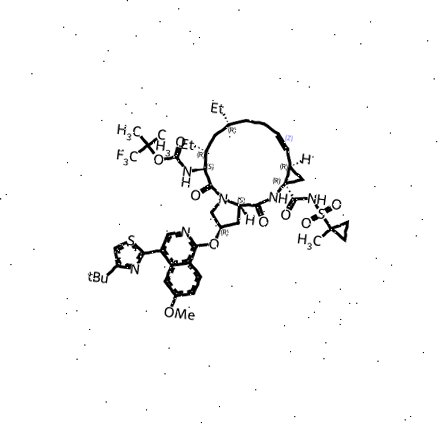 CC[C@@H]1CC/C=C\[C@H]2C[C@@]2(C(=O)NS(=O)(=O)C2(C)CC2)NC(=O)[C@@H]2C[C@@H](Oc3ncc(-c4nc(C(C)(C)C)cs4)c4cc(OC)ccc34)CN2C(=O)[C@@H](NC(=O)OC(C)(C)C(F)(F)F)[C@H](CC)C1